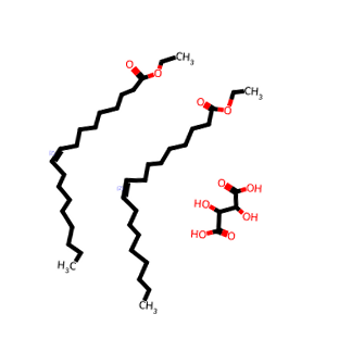 CCCCCCCC/C=C\CCCCCCCC(=O)OCC.CCCCCCCC/C=C\CCCCCCCC(=O)OCC.O=C(O)C(O)C(O)C(=O)O